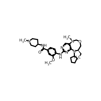 CC[C@@H]1COCN(C)c2cnc(Nc3ccc(C(=O)NC4CCN(C)CC4)cc3OC)nc2N1C1CCCC1